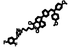 COc1ccc(C(=Cc2ccc(-c3ccc4c5c(cccc35)C(=O)N(CCCCn3c[n+](Cc5ccc(F)cc5F)cn3)C4=O)cc2)c2ccc(OC)cc2)cc1